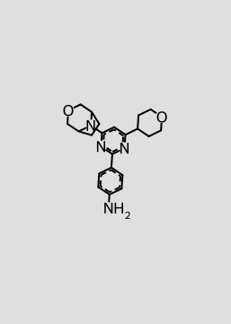 Nc1ccc(-c2nc(C3CCOCC3)cc(N3C4CCC3COC4)n2)cc1